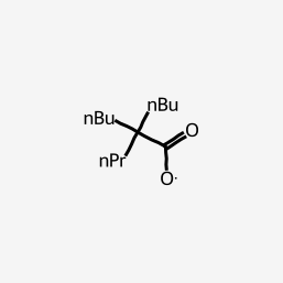 CCCCC(CCC)(CCCC)C([O])=O